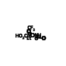 CCC(C(=O)O)n1c2c(c3cc(C(F)(F)F)ccc31)C[C@@H](NC(=O)OCc1ccccc1)CC2